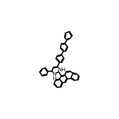 C1=C(c2ccc(-c3ccc(-c4ccccc4)cc3)cc2)NC(c2c3ccccc3cc3c2ccc2ccccc23)NC1c1ccccc1